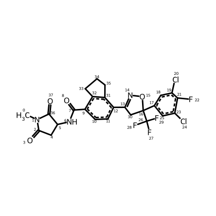 CN1C(=O)CC(NC(=O)c2ccc(C3=NOC(c4cc(Cl)c(F)c(Cl)c4)(C(F)(F)F)C3)c3c2CCC3)C1=O